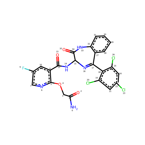 NC(=O)COc1ncc(F)cc1C(=O)NC1N=C(c2c(Cl)cc(Cl)cc2Cl)c2ccccc2NC1=O